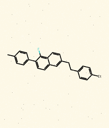 CCc1ccc(CCc2ccc3c(F)c(-c4ccc(C)cc4)ccc3c2)cc1